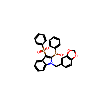 O=S(=O)(c1ccccc1)c1c([S+]([O-])c2ccccc2)n(Cc2ccc3c(c2)OCO3)c2ccccc12